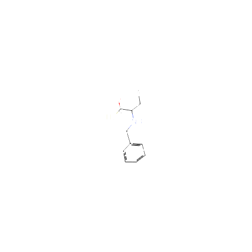 CC(=O)CC(NCc1ccccc1)[C@H](O)S